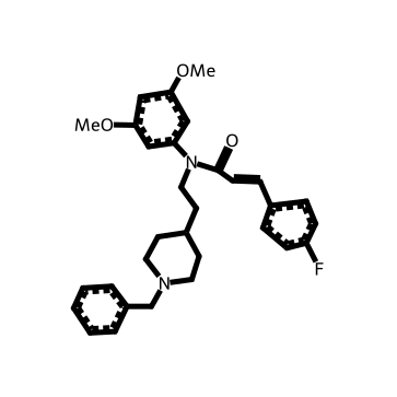 COc1cc(OC)cc(N(CCC2CCN(Cc3ccccc3)CC2)C(=O)C=Cc2ccc(F)cc2)c1